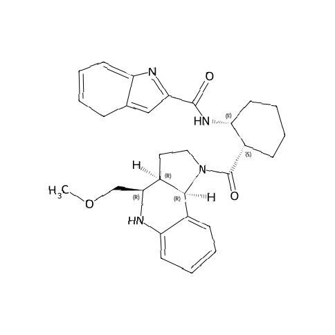 COC[C@@H]1Nc2ccccc2[C@H]2[C@@H]1CCN2C(=O)[C@H]1CCCC[C@H]1NC(=O)C1=NC2=CC=CCC2=C1